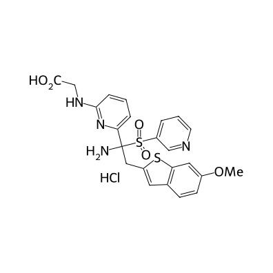 COc1ccc2cc(CC(N)(c3cccc(NCC(=O)O)n3)S(=O)(=O)c3cccnc3)sc2c1.Cl